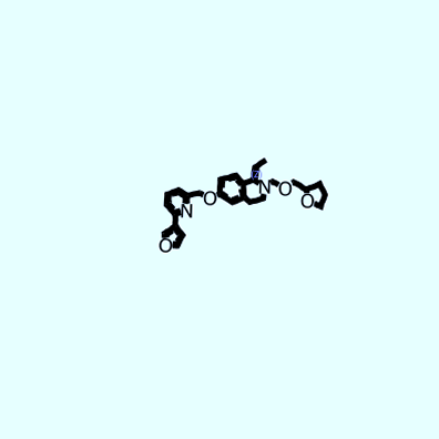 C/C=C1/c2ccc(OCc3cccc(-c4ccoc4)n3)cc2CCN1COCC1CCCO1